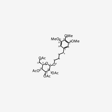 COc1cc(CCCCO[C@@H]2O[C@H](COC(C)=O)[C@@H](OC(C)=O)[C@H](OC(C)=O)[C@H]2OC(C)=O)cc(OC)c1OC